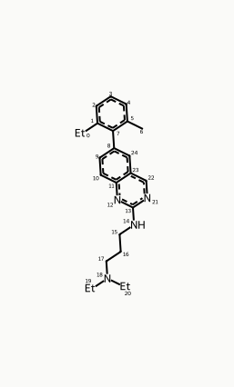 CCc1cccc(C)c1-c1ccc2nc(NCCCN(CC)CC)ncc2c1